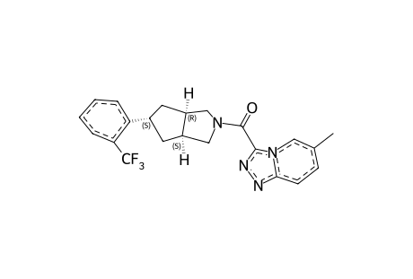 Cc1ccc2nnc(C(=O)N3C[C@H]4C[C@H](c5ccccc5C(F)(F)F)C[C@H]4C3)n2c1